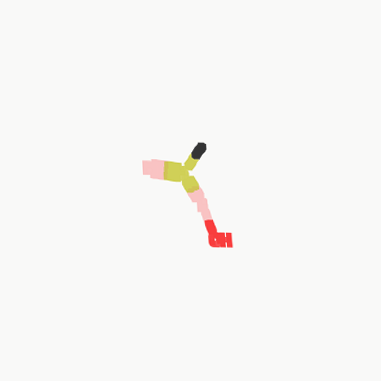 B#S(C)=BO